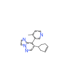 Cc1ccncc1-c1c(C2CC=CCC2)cnn2ccnc12